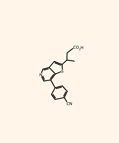 CC(CC(=O)O)c1cc2cncc(-c3ccc(C#N)cc3)c2s1